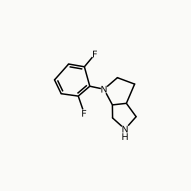 Fc1cccc(F)c1N1CCC2CNCC21